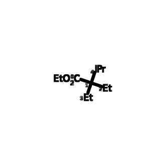 CCOC(=O)C(CC)(CC)C(C)C